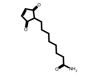 NC(=O)CCCCCCCC1C(=O)C=CC1=O